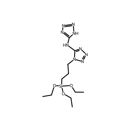 CCO[Si](CCCn1nnnc1Nc1nnn[nH]1)(OCC)OCC